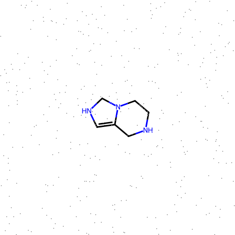 C1=C2CNCCN2CN1